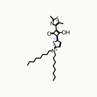 CCCCCCCC[N+](CCCCCCCC)=C1C=C/C(=C2/C(=O)C(c3nc(C)sc3C)=C2O)S1